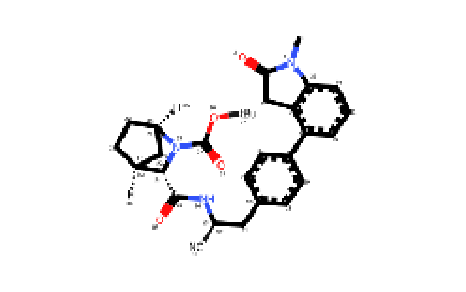 CN1C(=O)Cc2c(-c3ccc(C[C@@H](C#N)NC(=O)[C@@H]4[C@H]5CC[C@H](C5)N4C(=O)OC(C)(C)C)cc3)cccc21